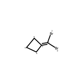 BrC(Br)=C1C[CH]C1